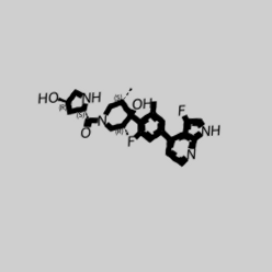 Cc1cc(-c2ccnc3[nH]cc(F)c23)cc(F)c1C1(O)[C@H](C)CN(C(=O)[C@@H]2C[C@@H](O)CN2)C[C@@H]1C